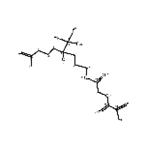 C=C(C)CCCC(O)(CCCOC(=O)COC(=O)C(=C)C)C(F)(F)F